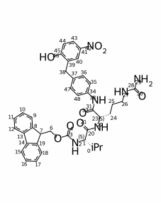 CC(C)[C@H](NC(=O)OCC1c2ccccc2-c2ccccc21)C(=O)N[C@@H](CCCNC(N)=O)C(=O)Nc1ccc(Cc2cc([N+](=O)[O-])ccc2O)cc1